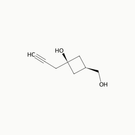 C#CC[C@]1(O)C[C@@H](CO)C1